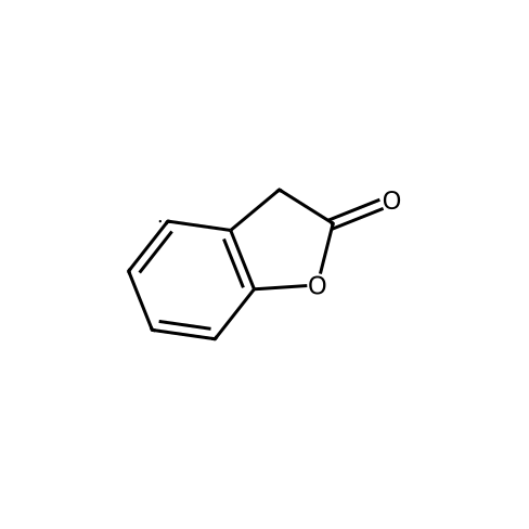 O=C1Cc2[c]cccc2O1